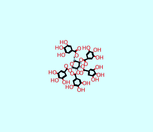 O=C(OC[C@H]1O[C@@H](OC(=O)c2cc(O)c(O)c(O)c2)[C@@H](OC(=O)c2cc(O)c(O)c(O)c2)[C@@H](OC(=O)c2cc(O)c(O)c(O)c2)[C@@H]1OC(=O)c1cc(O)c(O)c(O)c1)c1cc(O)c(O)c(O)c1